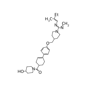 C=N/C(=N\C=C(/C)CC)N1CCC(COc2ccc(C3=CCC(C(=O)N4CCC(O)CC4)CC3)cc2)CC1